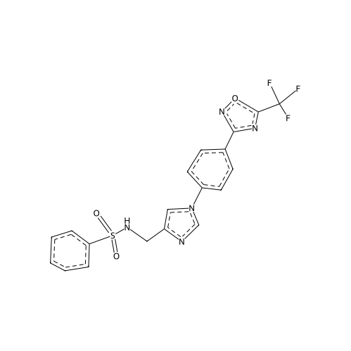 O=S(=O)(NCc1cn(-c2ccc(-c3noc(C(F)(F)F)n3)cc2)cn1)c1ccccc1